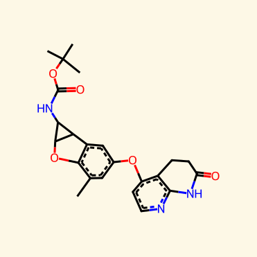 Cc1cc(Oc2ccnc3c2CCC(=O)N3)cc2c1OC1C(NC(=O)OC(C)(C)C)C21